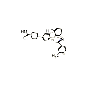 Cc1cc(/C(C[C@H](c2ccc([C@H]3CC[C@H](C(=O)O)CC3)cc2)c2ccccc2C)=N/O)ccn1